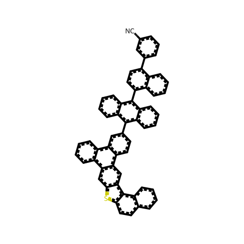 N#Cc1cccc(-c2ccc(-c3c4ccccc4c(-c4ccc5c(c4)c4ccccc4c4cc6sc7ccc8ccccc8c7c6cc54)c4ccccc34)c3ccccc23)c1